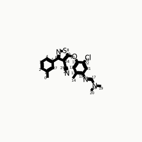 Cc1cccc(-c2nsc(Oc3cc(C)c(N=CN(C)C)cc3Cl)c2C#N)c1